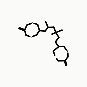 C=C1CSCC(CCC(C)(C)CC(C)CC2CSCC(=C)CSC2)CSC1